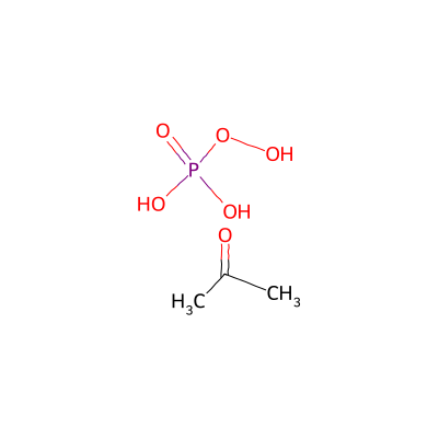 CC(C)=O.O=P(O)(O)OO